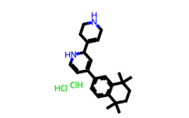 CC1(C)CCC(C)(C)c2cc(C3=CC(C4=CCNCC4)NC=C3)ccc21.Cl.Cl